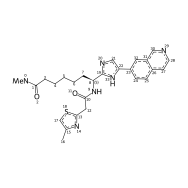 CNC(=O)CCCCC[C@H](NC(=O)Cc1nc(C)cs1)c1ncc(-c2ccc3ccncc3c2)[nH]1